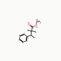 CC(c1ccccc1)C(C)(C)C(=O)O[SiH3]